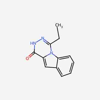 CCc1n[nH]c(=O)c2cc3ccccc3n12